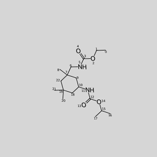 CCOC(=O)NCC1(C)CC(NC(=O)OC(C)C)CC(C)(C)C1